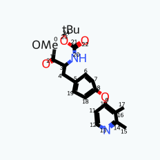 COC(=O)C(Cc1ccc(Oc2ccnc(C)c2C)cc1)NC(=O)OC(C)(C)C